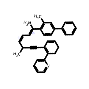 Cc1cc(-c2ccccc2)ccc1/C(N)=C/C=C\C(C)C#CC1=C(c2ccccn2)CCC=C1